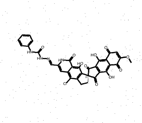 COC1=CC(=O)c2c(O)c3c(c(O)c2C1=O)C(=O)[C@]1(CCc2c1c(O)c1c(=O)[nH]c(C=NNC(=O)Nc4ccccc4)cc1c2Cl)C3=O